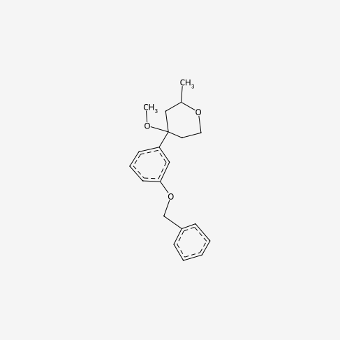 COC1(c2cccc(OCc3ccccc3)c2)CCOC(C)C1